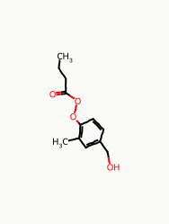 CCCC(=O)OOc1ccc(CO)cc1C